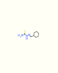 NC(=S)NN=CC1CCCCC1